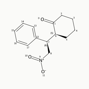 O=C1CCCC[C@H]1[C@@H](C[N+](=O)[O-])c1ccccc1